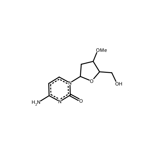 COC1CC(n2ccc(N)nc2=O)OC1CO